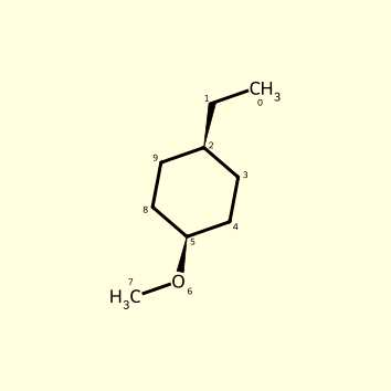 CC[C@H]1CC[C@@H](OC)CC1